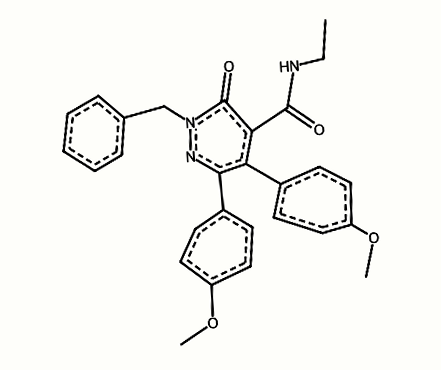 CCNC(=O)c1c(-c2ccc(OC)cc2)c(-c2ccc(OC)cc2)nn(Cc2ccccc2)c1=O